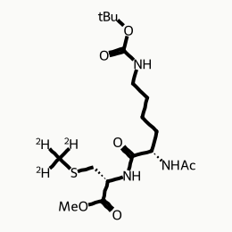 [2H]C([2H])([2H])SC[C@H](NC(=O)[C@H](CCCCNC(=O)OC(C)(C)C)NC(C)=O)C(=O)OC